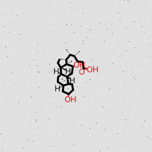 C[C@H]([C@H](C)CCC(=O)O)[C@H]1CC[C@H]2[C@@H]3CC[C@@H]4C[C@H](O)CC[C@]4(C)[C@H]3C[C@H](O)[C@]12C